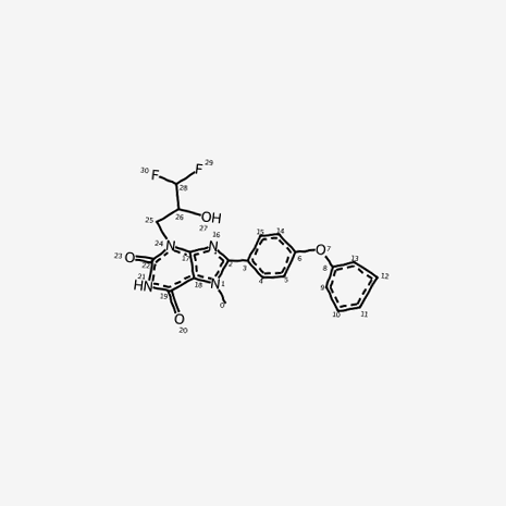 Cn1c(-c2ccc(Oc3ccccc3)cc2)nc2c1c(=O)[nH]c(=O)n2CC(O)C(F)F